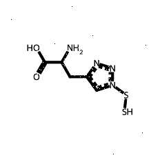 NC(Cc1cn(SS)nn1)C(=O)O